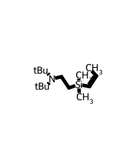 C/C=C\[Si](C)(C)CCN(C(C)(C)C)C(C)(C)C